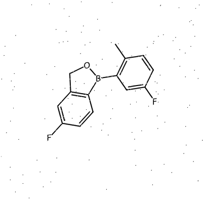 Cc1ccc(F)cc1B1OCc2cc(F)ccc21